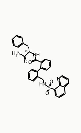 NC(=O)[C@H](Cc1ccccc1)NC(=O)c1ccccc1-c1ccccc1CNS(=O)(=O)c1cccc2cccnc12